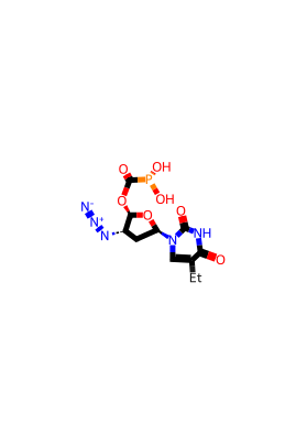 CCc1cn([C@H]2C[C@H](N=[N+]=[N-])[C@@H](OC(=O)P(O)O)O2)c(=O)[nH]c1=O